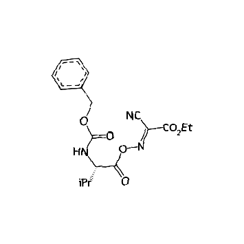 CCOC(=O)C(C#N)=NOC(=O)[C@@H](NC(=O)OCc1ccccc1)C(C)C